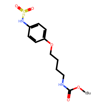 CC(C)(C)OC(=O)NCCCCOc1ccc(N[SH](=O)=O)cc1